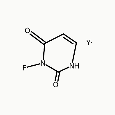 O=c1cc[nH]c(=O)n1F.[Y]